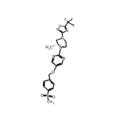 C[C@@H]1CN(c2noc(C(F)(F)F)n2)CCN1c1ncc(OCc2ccc(S(C)(=O)=O)cc2)cn1